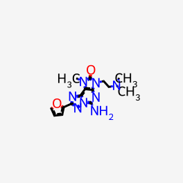 CN(C)CCn1c(=O)n(C)c2c1nc(N)n1nc(-c3ccco3)nc21